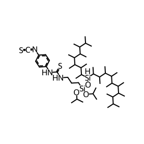 CC(C)O[Si](CCCNC(=S)Nc1ccc(N=C=S)cc1)(OC(C)C)O[SiH](C(C)C(C)C(C)C(C)C(C)C(C)C(C)C)C(C)C(C)C(C)C(C)C(C)C(C)C(C)C(C)C(C)C